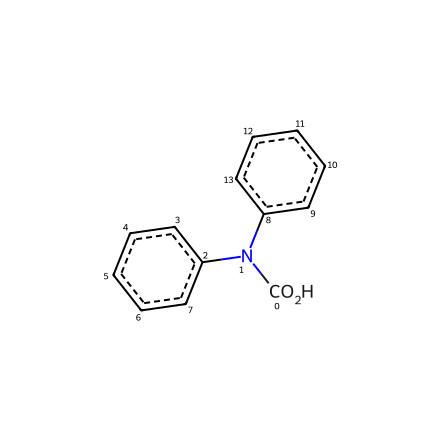 O=C(O)N(c1ccccc1)c1ccccc1